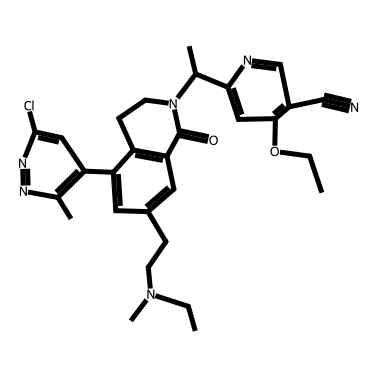 CCOc1cc(C(C)N2CCc3c(cc(CCN(C)CC)cc3-c3cc(Cl)nnc3C)C2=O)ncc1C#N